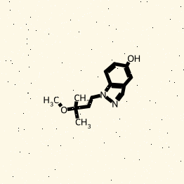 COC(C)(C)CCn1ncc2cc(O)ccc21